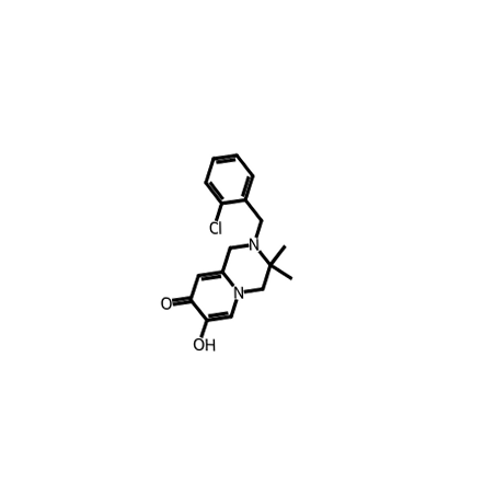 CC1(C)Cn2cc(O)c(=O)cc2CN1Cc1ccccc1Cl